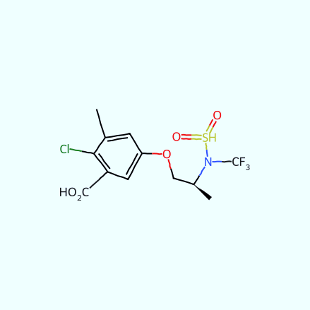 Cc1cc(OC[C@H](C)N([SH](=O)=O)C(F)(F)F)cc(C(=O)O)c1Cl